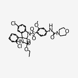 CCOC(=O)NC1(c2ccccc2Cl)C(=O)N(S(=O)(=O)c2ccc(NC(=O)N3CCOCC3)cc2OC)c2ccc(Cl)cc21